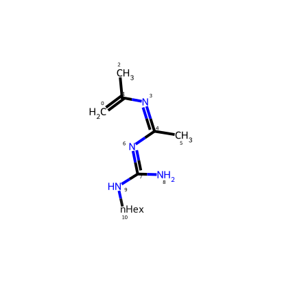 C=C(C)/N=C(C)\N=C(/N)NCCCCCC